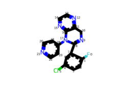 Fc1ccc(Cl)cc1C1=NCc2nccnc2N1c1ccncc1